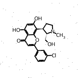 CN1CC[C@H](c2c(O)cc(O)c3c(=O)cc(-c4cccc(Cl)c4)oc23)[C@H]1CO